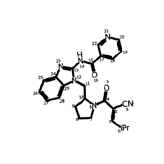 CC(C)/C=C(\C#N)C(=O)N1CCCC1Cn1c(NC(=O)c2cccnc2)nc2ccccc21